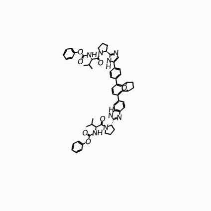 CC(C)[C@H](NC(=O)Oc1ccccc1)C(=O)N1CCC[C@H]1c1ncc(-c2ccc(-c3ccc(-c4ccc5nc([C@@H]6CCCN6C(=O)[C@@H](NC(=O)Oc6ccccc6)C(C)C)[nH]c5c4)c4c3C3CCC4O3)cc2)[nH]1